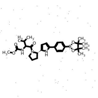 COC(=O)NC(C(=O)N1CCC[C@H]1c1ccc(-c2ccc(B3OC(C)(C)C(C)(C)O3)cc2)[nH]1)C(C)C